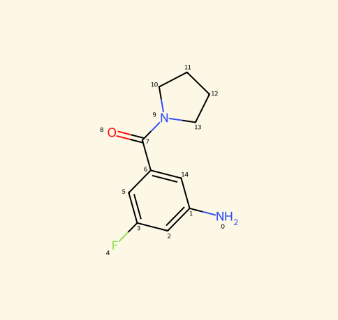 Nc1cc(F)cc(C(=O)N2CCCC2)c1